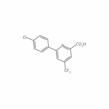 O=C(O)c1cc(C(F)(F)F)cc(-c2ccc(Cl)cc2)n1